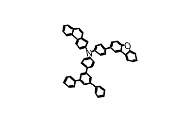 c1ccc(-c2cc(-c3ccccc3)cc(-c3ccc(N(c4ccc(-c5ccc6oc7ccccc7c6c5)cc4)c4ccc5c(ccc6ccccc65)c4)cc3)c2)cc1